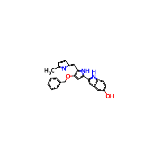 CC1=N/C(=C\c2[nH]c(-c3cc4cc(O)ccc4[nH]3)cc2OCc2ccccc2)C=C1